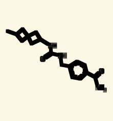 CC1CC2(C1)CC(NC(=O)NCc1ccc(C(N)=O)cc1)C2